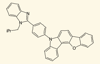 CC(C)Cn1c(-c2ccc(-n3c4ccccc4c4c5oc6ccccc6c5ccc43)cc2)nc2ccccc21